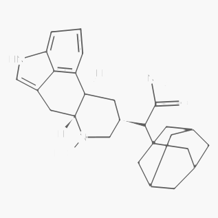 CN1C[C@H](C(C(N)=O)C23CC4CC(CC(C4)C2)C3)C[C@@H]2c3cccc4[nH]cc(c34)C[C@H]21